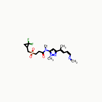 C=N/C=C\C=C(/C)c1cc(N(CC)C(=O)CCS(=O)(=O)CC2CC2(F)F)n(C)n1